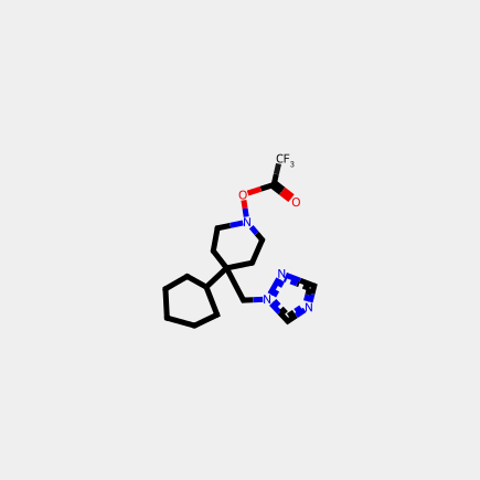 O=C(ON1CCC(Cn2cncn2)(C2CCCCC2)CC1)C(F)(F)F